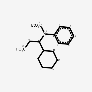 CCOC(=O)N(c1ccccc1)C(CC(=O)O)C1CCCCC1